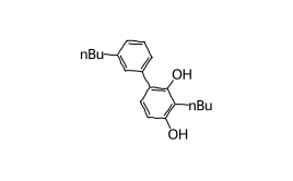 CCCCc1cccc(-c2ccc(O)c(CCCC)c2O)c1